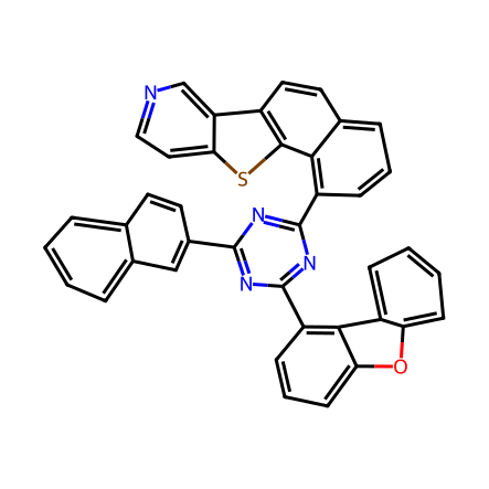 c1ccc2cc(-c3nc(-c4cccc5oc6ccccc6c45)nc(-c4cccc5ccc6c7cnccc7sc6c45)n3)ccc2c1